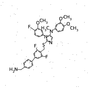 COc1cc(-n2c(N(C)c3ccc(OC)c(OC)c3)cnc2SCc2c(F)cc(-c3ccc(CN)cc3)cc2F)ccc1F